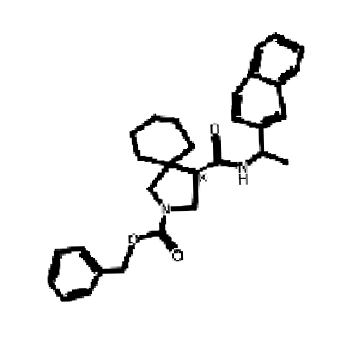 CC(NC(=O)[C@H]1CN(C(=O)OCc2ccccc2)CC12CCCCC2)c1ccc2ccccc2c1